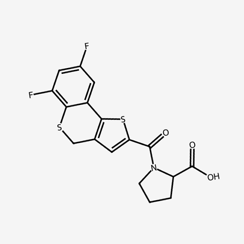 O=C(O)C1CCCN1C(=O)c1cc2c(s1)-c1cc(F)cc(F)c1SC2